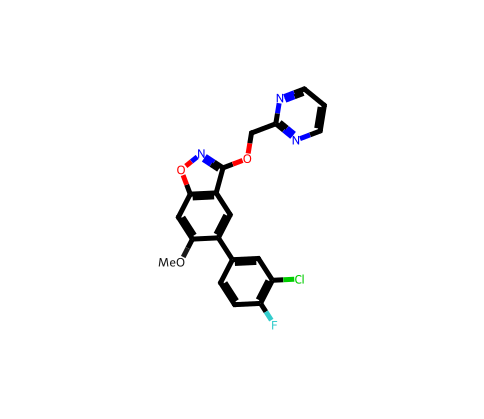 COc1cc2onc(OCc3ncccn3)c2cc1-c1ccc(F)c(Cl)c1